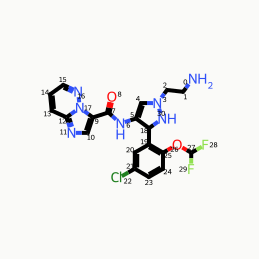 NCCN1C=C(NC(=O)c2cnc3cccnn23)C(c2cc(Cl)ccc2OC(F)F)N1